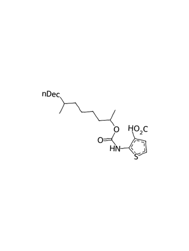 CCCCCCCCCCC(C)CCCCC(C)OC(=O)Nc1sccc1C(=O)O